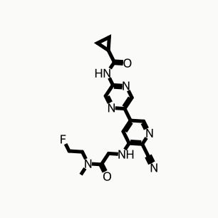 CN(CCF)C(=O)CNc1cc(-c2cnc(NC(=O)C3CC3)cn2)cnc1C#N